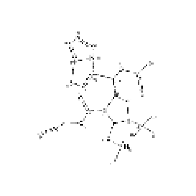 C=CCOC(=O)N1C(O[SiH](C)C)[C@@H](C(C)(C)C)C[C@@H]1C(OC(C)=S)c1csc2cncn12